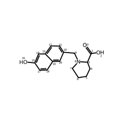 O=C(O)C1CCCCN1Cc1ccc2cc(O)ccc2c1